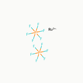 F[P-](F)(F)(F)(F)F.F[P-](F)(F)(F)(F)F.[Ru+3]